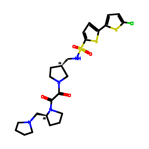 O=C(C(=O)N1CCC[C@H]1CN1CCCC1)N1CC[C@H](CNS(=O)(=O)c2ccc(-c3ccc(Cl)s3)s2)C1